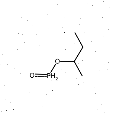 CCC(C)O[PH2]=O